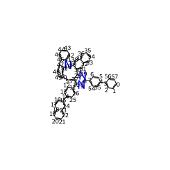 c1ccc(-c2ccc(-c3nc(-c4ccc(-c5ccc6ccccc6c5)cc4)c4c(n3)-c3cc5ccccc5cc3-n3c5ccccc5c5ccc(cc53)C4)cc2)cc1